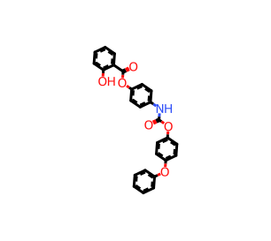 O=C(Nc1ccc(OC(=O)c2ccccc2O)cc1)Oc1ccc(Oc2ccccc2)cc1